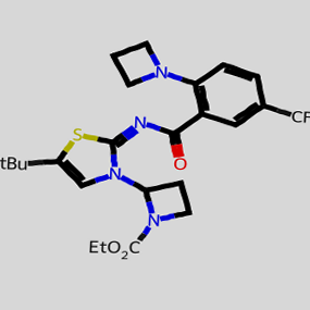 CCOC(=O)N1CCC1n1cc(C(C)(C)C)sc1=NC(=O)c1cc(C(F)(F)F)ccc1N1CCC1